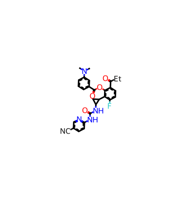 CCC(=O)c1ccc(F)c(C2CC2NC(=O)Nc2ccc(C#N)cn2)c1OC(=O)c1cccc(N(C)C)c1